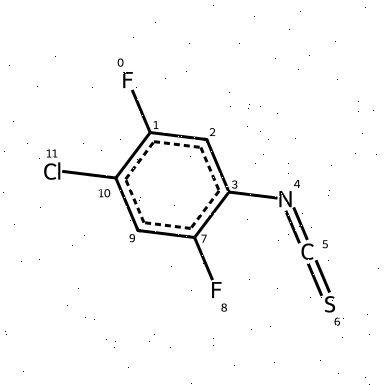 Fc1cc(N=C=S)c(F)cc1Cl